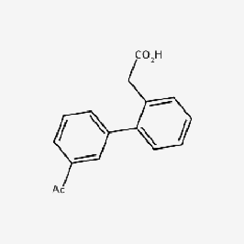 CC(=O)c1cccc(-c2ccccc2CC(=O)O)c1